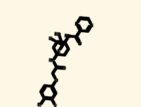 O=C(COc1ccc(Cl)c(F)c1)NC12CCC(NC(=O)c3cnccn3)(CC1)[C@@H](O)C2